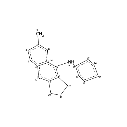 Cc1ccc2nc3c(c(Nc4ccccc4)c2c1)CCC3